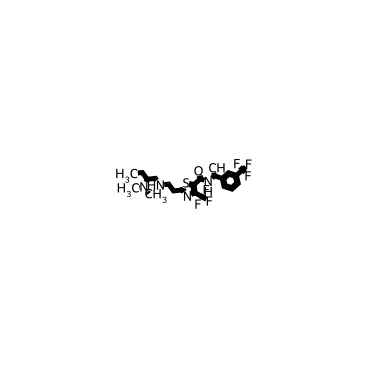 CCC(CNCCc1nc(C(F)(F)F)c(C(=O)NC(C)c2cccc(C(F)(F)F)c2)s1)N(C)C